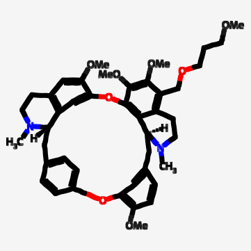 COCCCOCc1c2c3c(c(OC)c1OC)Oc1cc4c(cc1OC)CCN(C)[C@H]4Cc1ccc(cc1)Oc1cc(ccc1OC)C[C@@H]3N(C)CC2